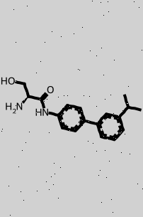 CC(C)c1cccc(-c2ccc(NC(=O)[C@@H](N)CO)cc2)c1